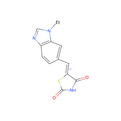 CCn1cnc2ccc(/C=C3\SC(=O)NC3=O)cc21